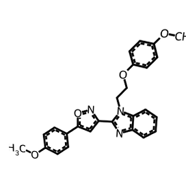 COc1ccc(OCCn2c(-c3cc(-c4ccc(OC)cc4)on3)nc3ccccc32)cc1